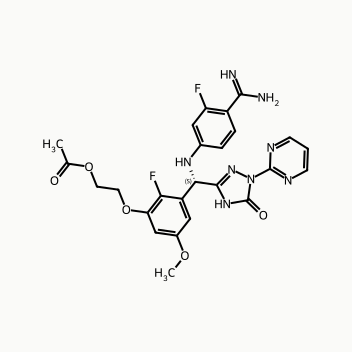 COc1cc(OCCOC(C)=O)c(F)c([C@H](Nc2ccc(C(=N)N)c(F)c2)c2nn(-c3ncccn3)c(=O)[nH]2)c1